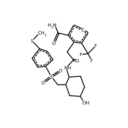 CSc1ccc(S(=O)(=O)CC2CC(O)CCC2NC(=O)Cc2c(C(N)=O)cccc2C(F)(F)F)cc1